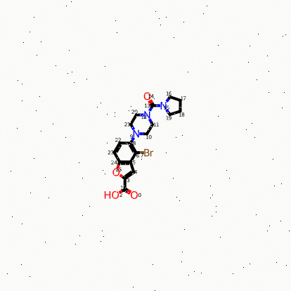 O=C(O)c1cc2c(Br)c(N3CCN(C(=O)N4CCCC4)CC3)ccc2o1